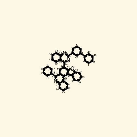 c1ccc(-c2cccc(-c3nc(-c4cc5c(-c6ccccc6)nc6ccccc6c5c5c4oc4ccccc45)c4ccccc4n3)c2)cc1